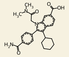 CN(C)C(=O)Cn1c(-c2ccc(C(N)=O)cc2)c(C2CCCCC2)c2ccc(C(=O)O)cc21